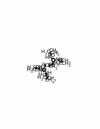 CC(C)(C)OC(=O)Nc1cc(NC(=O)OC(C)(C)C)cc(C(=O)O)c1.COC(=O)c1cc(NC(=O)OC(C)(C)C)cc(NC(=O)OC(C)(C)C)c1